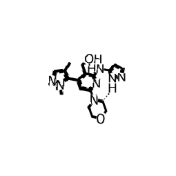 Cc1cnn(C)c1-c1cc(N2CCOC[C@H]2C)nc(Nc2ccn[nH]2)c1CO